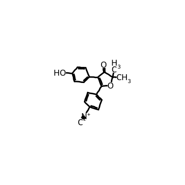 [C-]#[N+]c1ccc(C2=C(c3ccc(O)cc3)C(=O)C(C)(C)O2)cc1